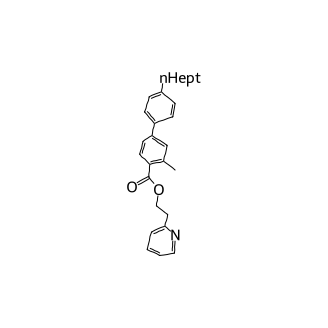 CCCCCCCc1ccc(-c2ccc(C(=O)OCCc3ccccn3)c(C)c2)cc1